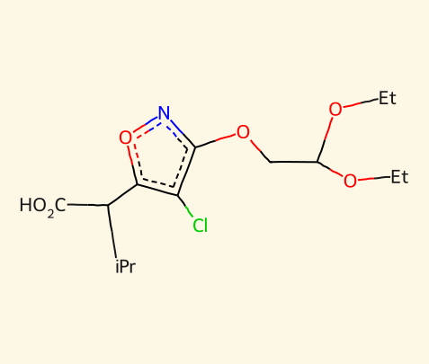 CCOC(COc1noc(C(C(=O)O)C(C)C)c1Cl)OCC